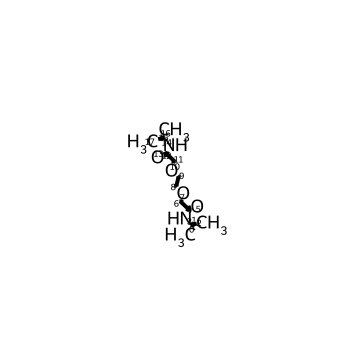 CC(C)NC(=O)COCCOCC(=O)NC(C)C